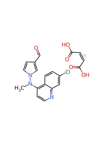 CN(c1ccnc2cc(Cl)ccc12)n1ccc(C=O)c1.O=C(O)/C=C\C(=O)O